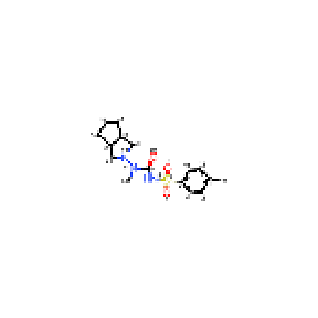 Cc1ccc(S(=O)(=O)NC(=O)N(C)N2CC3CCCC3C2)cc1